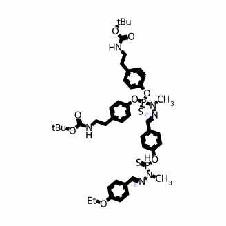 CCOc1ccc(/C=N/N(C)[PH](=S)Oc2ccc(/C=N/N(C)P(=S)(Oc3c#cc(CCNC(=O)OC(C)(C)C)cc3)Oc3ccc(CCNC(=O)OC(C)(C)C)cc3)cc2)cc1